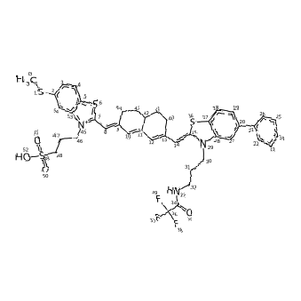 CSc1ccc2sc(/C=C3/C=C4C=C(/C=C5\Sc6ccc(-c7ccccc7)cc6N5CCCNC(=O)C(F)(F)F)CCC4CC3)[n+](CCCS(=O)(=O)O)c2c1